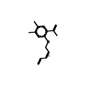 C=C/C=C\COc1cc(C)c(C)cc1C(=C)C